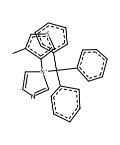 Cc1cscc1[N+]1(C(c2ccccc2)(c2ccccc2)c2ccccc2)C=[C]N=C1